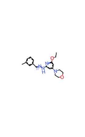 CCOc1cc(N2CCOCC2)cc(N/N=C/c2cccc(C)c2)n1